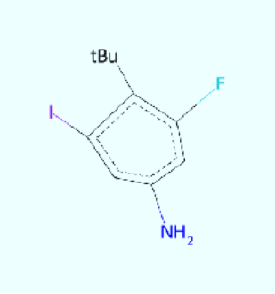 CC(C)(C)c1c(F)cc(N)cc1I